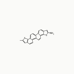 Cc1cc2ccc3c4ccc5c(ccc6cc(N)sc65)c4ccc3c2s1